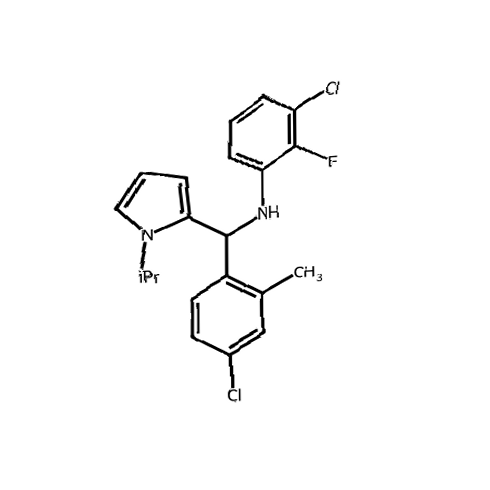 Cc1cc(Cl)ccc1C(Nc1cccc(Cl)c1F)c1cccn1C(C)C